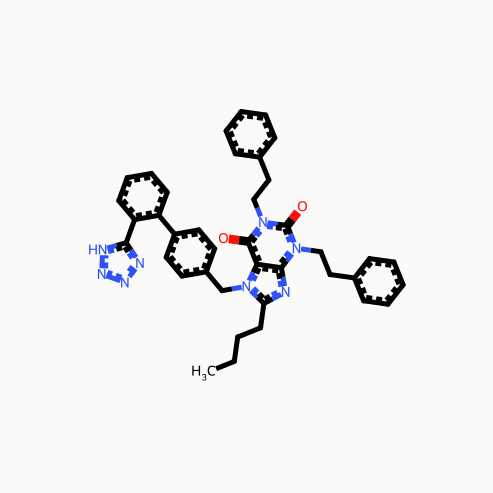 CCCCc1nc2c(c(=O)n(CCc3ccccc3)c(=O)n2CCc2ccccc2)n1Cc1ccc(-c2ccccc2-c2nnn[nH]2)cc1